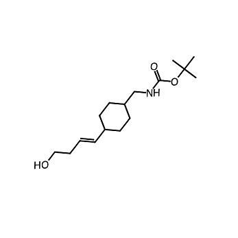 CC(C)(C)OC(=O)NCC1CCC(C=CCCO)CC1